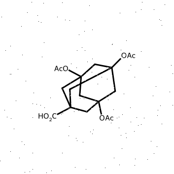 CC(=O)OC12CC3(OC(C)=O)CC(OC(C)=O)(C1)CC(C(=O)O)(C2)C3